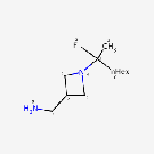 CCCCCCC(C)(CC)N1CC(CN)C1